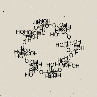 OC[C@H]1OC2OC3[C@@H](CO)OC(OC4[C@@H](CO)OC(O[C@H]5[C@H](O)[C@@H](O)C(OC6[C@@H](CO)OC(OC7[C@@H](CO)OC(OC8[C@@H](CO)OC(O[C@H]9[C@H](O)[C@@H](O)C(OC1[C@H](O)[C@H]2O)O[C@@H]9CO)[C@H](O)[C@H]8O)[C@H](O)[C@H]7O)[C@H](O)[C@H]6O)O[C@@H]5CO)[C@H](O)[C@H]4O)[C@H](O)[C@H]3O